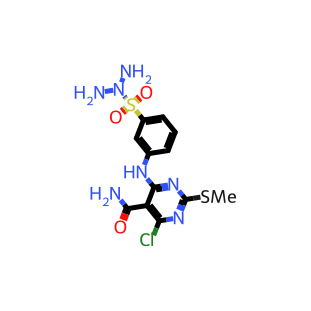 CSc1nc(Cl)c(C(N)=O)c(Nc2cccc(S(=O)(=O)N(N)N)c2)n1